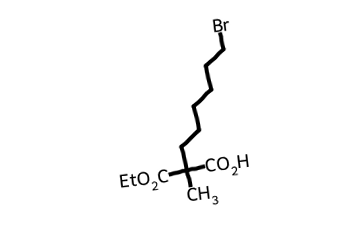 CCOC(=O)C(C)(CCCCCCBr)C(=O)O